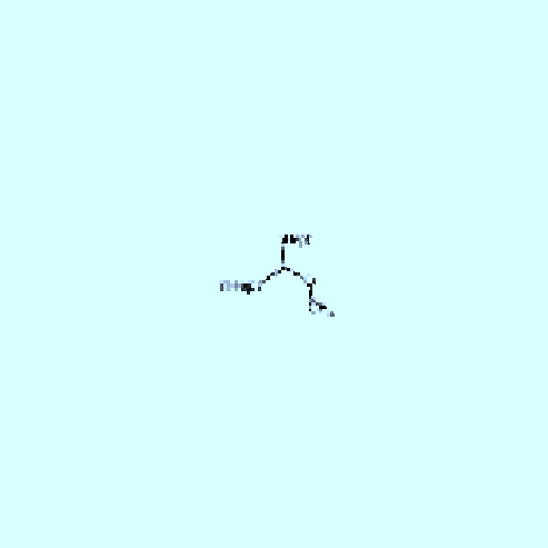 CCCCCCCC(CCCCCCC)OC(F)(F)F